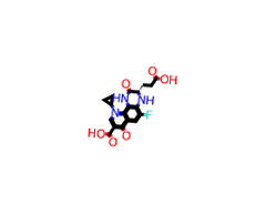 O=C(O)CC[C@@H]1Nc2c(F)cc3c(=O)c(C(=O)O)cn(C4CC4)c3c2NC1=O